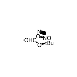 C#N.CC(C)(C)O[C]=O.O=[NH+][O-]